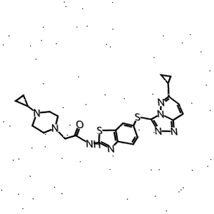 O=C(CN1CCN(C2CC2)CC1)Nc1nc2ccc(Sc3nnc4ccc(C5CC5)nn34)cc2s1